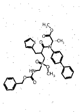 COC(=O)[C@H](C)N(C(=O)C(Cc1cccs1)CP(=O)(CNC(=O)OCc1ccccc1)OC)c1ccc(-c2ccccc2)cc1